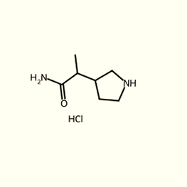 CC(C(N)=O)C1CCNC1.Cl